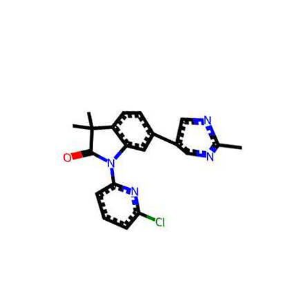 Cc1ncc(-c2ccc3c(c2)N(c2cccc(Cl)n2)C(=O)C3(C)C)cn1